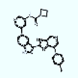 O=C(Nc1cncc(-c2ccc3[nH]nc(-c4nc5c(-c6ccc(F)cc6)cncc5[nH]4)c3c2)c1)C1CCC1